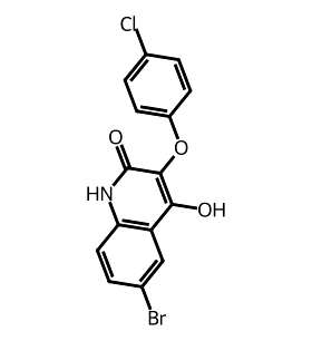 O=c1[nH]c2ccc(Br)cc2c(O)c1Oc1ccc(Cl)cc1